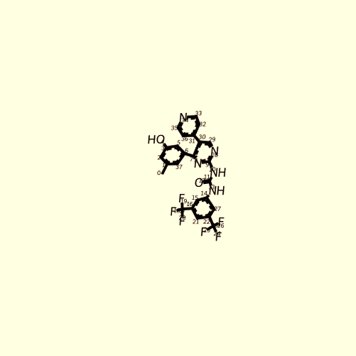 Cc1cc(O)cc(-c2nc(NC(=O)Nc3cc(C(F)(F)F)cc(C(F)(F)F)c3)ncc2-c2ccncc2)c1